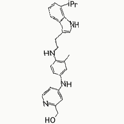 Cc1cc(Nc2ccnc(CO)c2)ccc1NCCc1c[nH]c2c(C(C)C)cccc12